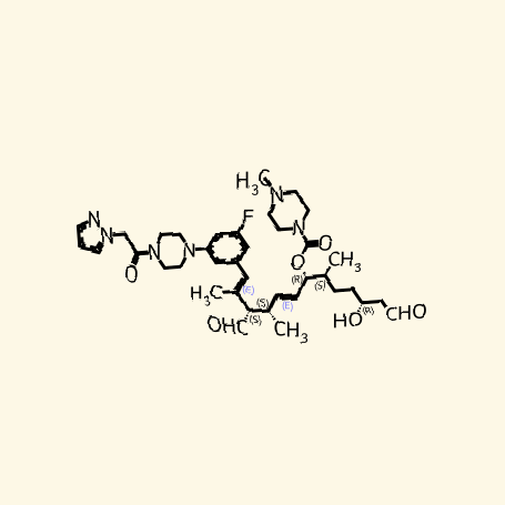 C/C(=C\c1cc(F)cc(N2CCN(C(=O)Cn3cccn3)CC2)c1)[C@@H](C=O)[C@@H](C)/C=C/[C@H](OC(=O)N1CCN(C)CC1)[C@@H](C)CC[C@@H](O)CC=O